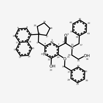 O=C(c1nc(CC2(c3cccc4ccccc34)CCCC2)nc(O)c1OCc1ccccc1)N(CCO)Cc1ccccc1